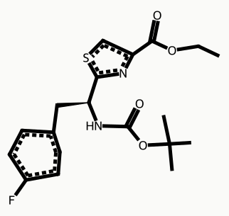 CCOC(=O)c1csc([C@H](Cc2ccc(F)cc2)NC(=O)OC(C)(C)C)n1